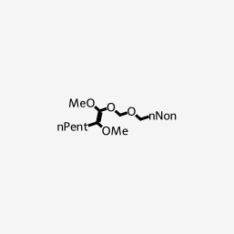 CCCCCCCCCCOCOC(OC)=C(CCCCC)OC